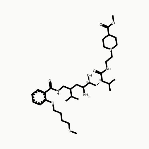 COCCCCOc1ccccc1C(=O)NCC(CC(N)[C@@H](O)C[C@H](C(=O)NCCN1CCC(C(=O)OC)CC1)C(C)C)C(C)C